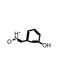 [O-][NH+]=Cc1cccc(O)c1